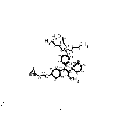 CCC[CH2][Sn]([CH2]CCC)([CH2]CCC)[c]1ccc(C(=C(CC)c2ccccc2)c2ccc(OCCN3CC3)cc2)cc1